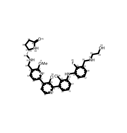 COc1nc(-c2ccnc(-c3cccc(Nc4cccc(CNCCO)c4F)c3Cl)c2Cl)ccc1CNC[C@@H]1CCC(=O)N1